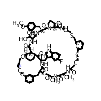 COc1ccc(C[C@@H]2NC(=O)[C@H]([C@@H](C)O)NC(=O)[C@H]3C4CCC[C@@H]3OC/C=C/COc3cccc(c3)C[C@H](CC(=O)[C@@H](C)NC(=O)[C@H](C)NC(=O)CCSCc3cccc(c3)CSCCNC(=O)[C@]3(C)CCCN3C2=O)C(=O)N[C@@H](Cc2c[nH]c3ccc(F)cc23)C4=O)cc1